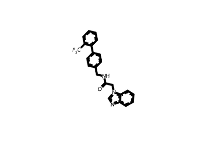 O=C(Cn1cnc2ccccc21)NCc1ccc(-c2ccccc2C(F)(F)F)cc1